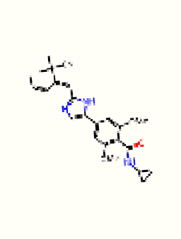 C/C=C\C(=C/c1ncc(-c2cc(OC)c(C(=O)NC3CC3)c(OC)c2)[nH]1)C(C)(C)C#N